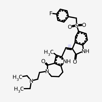 CCN(CC)CCN1CCCc2[nH]c(/C=C3\C(=O)Nc4ccc(S(=O)(=O)Cc5ccc(F)cc5)cc43)c(C)c2C1=O